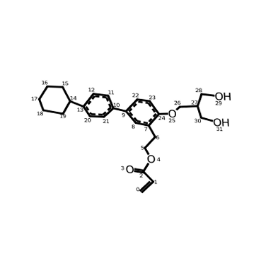 C=CC(=O)OCCc1cc(-c2ccc(C3CCCCC3)cc2)ccc1OCC(CO)CO